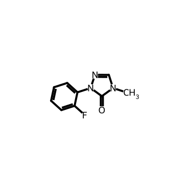 Cn1cnn(-c2ccccc2F)c1=O